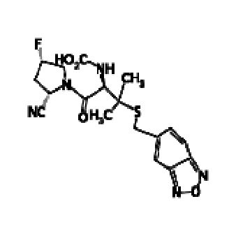 CC(C)(SCc1ccc2nonc2c1)[C@H](NC(=O)O)C(=O)N1C[C@@H](F)C[C@H]1C#N